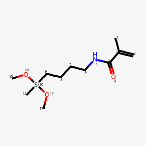 C=C(C)C(=O)NCCCC[Si](C)(OC)OC